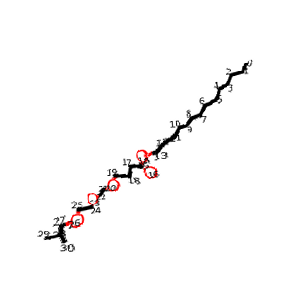 CCCCCCCCCCCCCCOC(=O)CCCOCCOCCOCC(C)C